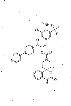 CNc1c(Cl)cc(C[C@@H](OC(=O)N2CCC3(CC2)OC(=O)Nc2ccccc23)C(=O)N2CCN(c3ccncc3)CC2)cc1C(F)(F)F